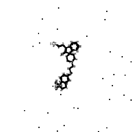 CCCC1C(=O)C2(CCN(CCOc3ccc4c(c3)CCS4(=O)=O)CC2)c2ccccc21